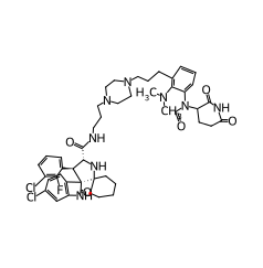 CN(C)c1c(CCCN2CCN(CCCNC(=O)[C@@H]3NC4(CCCCC4)[C@@]4(C(=O)Nc5cc(Cl)ccc54)[C@H]3c3cccc(Cl)c3F)CC2)cccc1N(C=O)C1CCC(=O)NC1=O